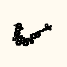 C[C@@H]1CCCCN1Cc1cnc(C(=O)Nc2cccc(-c3cccc(NC(=O)c4cc5c(cn4)CN(CCCCC(=O)N(C)C)CC5)c3Cl)c2Cl)cc1C1CC1